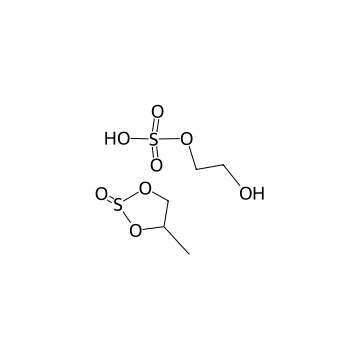 CC1COS(=O)O1.O=S(=O)(O)OCCO